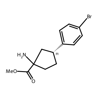 COC(=O)C1(N)CC[C@@H](c2ccc(Br)cc2)C1